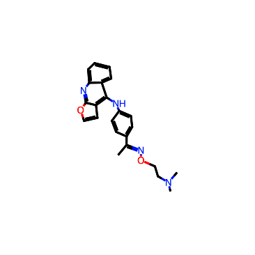 CC(=NOCCN(C)C)c1ccc(Nc2c3ccccc3nc3occc23)cc1